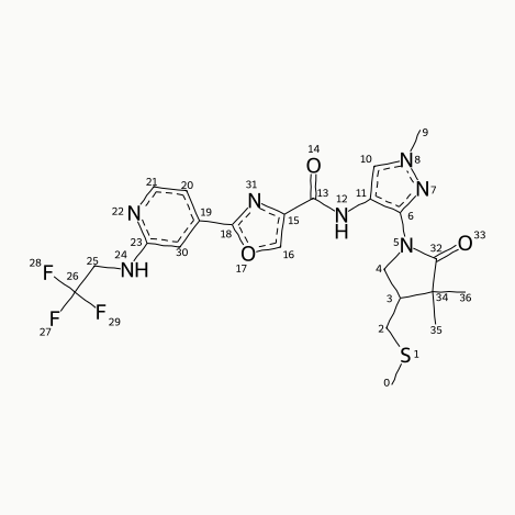 CSCC1CN(c2nn(C)cc2NC(=O)c2coc(-c3ccnc(NCC(F)(F)F)c3)n2)C(=O)C1(C)C